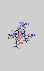 CC(C)C(NC(=O)C(CCCNC(=N)N)NC(=O)C1CCCN1C(=O)CN)C(=O)NC(C(=O)NC(CCC(=O)O)C(=O)O)C(C)C